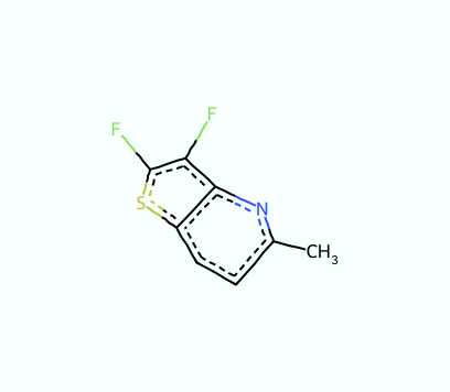 Cc1ccc2sc(F)c(F)c2n1